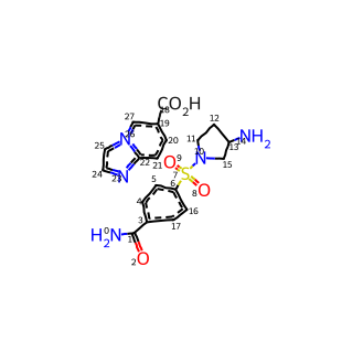 NC(=O)c1ccc(S(=O)(=O)N2CCC(N)C2)cc1.O=C(O)c1ccc2nccn2c1